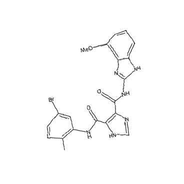 COc1cccc2[nH]c(NC(=O)c3nc[nH]c3C(=O)Nc3cc(Br)ccc3C)nc12